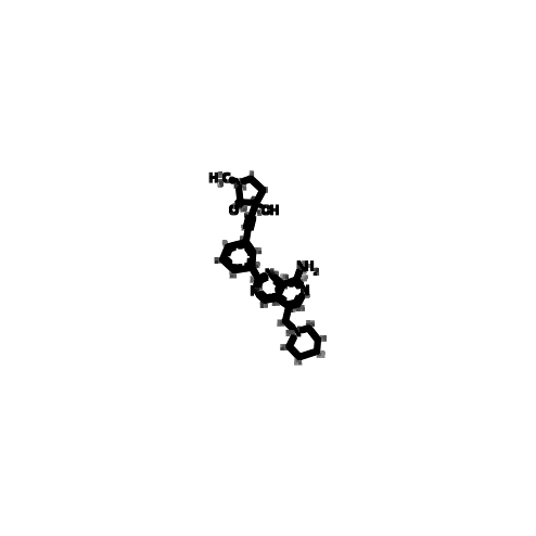 CN1CC[C@@](O)(C#Cc2cccc(-c3ncc4c(CN5CCCCC5)cnc(N)c4n3)c2)C1=O